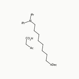 CC(=O)CC(=O)O.CCCCCCCCCCCCCCCCC[CH2][Al]([CH](C)C)[CH](C)C